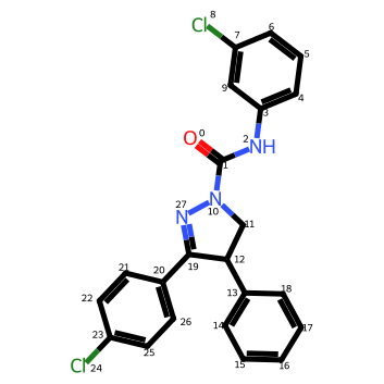 O=C(Nc1cccc(Cl)c1)N1CC(c2ccccc2)C(c2ccc(Cl)cc2)=N1